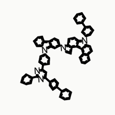 c1ccc(-c2ccc(-c3cc(-c4ccc(-n5c6ccccc6c6ccc(-n7ccc8c9c%10c%11ccccc%11ccc%10n(-c%10cccc(-c%11ccccc%11)c%10)c9ccc87)cc65)cc4)nc(-c4ccccc4)n3)cc2)cc1